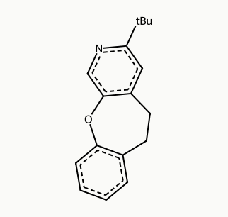 CC(C)(C)c1cc2c(cn1)Oc1ccccc1CC2